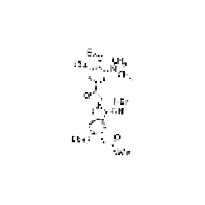 Br.CCOc1cc2c(cc1CC(=O)NC)C(=N)N(CC(=O)c1cc(N(C)C)c(OCC)c(C(C)(C)C)c1)C2